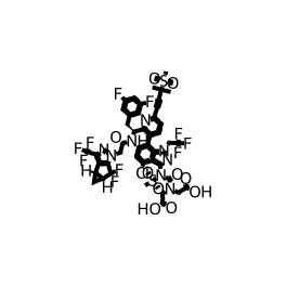 CC(C)(C#Cc1ccc(-c2ccc(Cl)c3c(N(C(=O)N(CC(=O)O)CC(=O)O)S(C)(=O)=O)nn(CC(F)(F)F)c23)c([C@H](Cc2cc(F)cc(F)c2)NC(=O)Cn2nc(C(F)(F)F)c3c2C(F)(F)[C@@H]2C[C@H]32)n1)S(C)(=O)=O